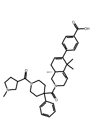 CN1CCC(C(=O)N2CCC(C(=O)N3CC=C4C(C)(C)C(c5ccc(C(=O)O)cc5)=CC[C@]4(C)C3)(c3ccccc3)CC2)C1